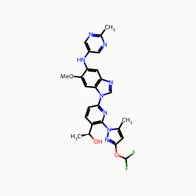 COc1cc2c(cc1Nc1cnc(C)nc1)ncn2-c1ccc([C@H](C)O)c(-n2nc(OC(F)F)cc2C)n1